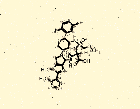 COCP(=O)(N[C@H]1C[C@@H](N2Cc3nc(-c4nnnn4C)n(C)c3C2)CO[C@@H]1c1cc(F)ccc1F)NC(C)(C(=O)O)C(C)C